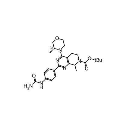 CC1c2nc(-c3ccc(NC(N)=O)cc3)nc(N3CCOC[C@@H]3C)c2CCN1C(=O)OC(C)(C)C